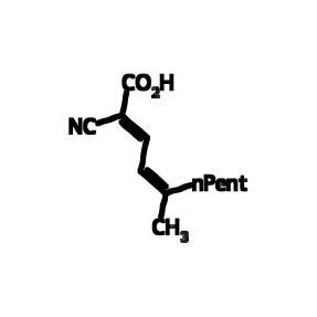 CCCCC/C(C)=C\C=C(/C#N)C(=O)O